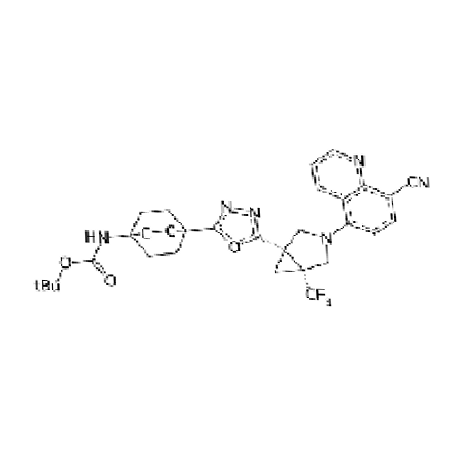 CC(C)(C)OC(=O)NC12CCC(c3nnc([C@]45CN(c6ccc(C#N)c7ncccc67)C[C@@]4(C(F)(F)F)C5)o3)(CC1)CC2